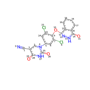 N#Cc1cn(-c2cc(Cl)c(Oc3n[nH]c(=O)c4ccccc34)c(Cl)c2)c(=O)[nH]c1=O